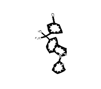 OC(c1cccc(Cl)c1)(c1ccc2c(cnn2-c2ccccn2)c1)C(F)(F)F